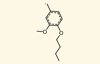 [CH]c1ccc(OCCCC)c(OC)c1